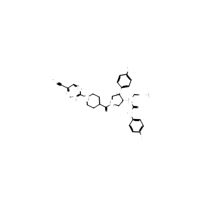 CCN(C(=O)Oc1ccc(F)cc1)[C@@H]1CN(C(=O)C2CCN(c3ncc(C#N)nn3)CC2)C[C@H]1c1ccc(Cl)cc1